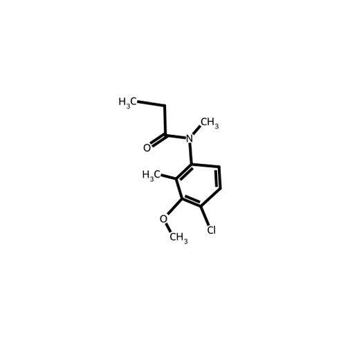 CCC(=O)N(C)c1ccc(Cl)c(OC)c1C